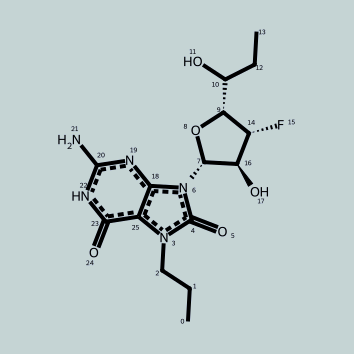 CCCn1c(=O)n([C@@H]2O[C@H](C(O)CC)[C@H](F)[C@H]2O)c2nc(N)[nH]c(=O)c21